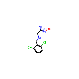 NC(CNCc1c(Cl)cccc1Cl)=NO